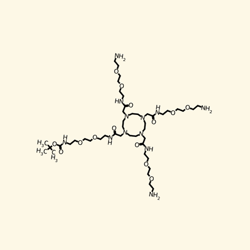 CC(C)(C)OC(=O)NCCOCCOCCNC(=O)CN1CCN(CC(=O)NCCOCCOCCN)CCN(CC(=O)NCCOCCOCCN)CCN(CC(=O)NCCOCCOCCN)CC1